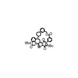 CC(C)(C)OC(=O)CN1C(=O)C(N(C(=O)Nc2cccc(C(=O)OCc3ccccc3)c2)C(Br)C(=O)OC(C)(C)C)CN(C2CCCCC2)c2ccccc21